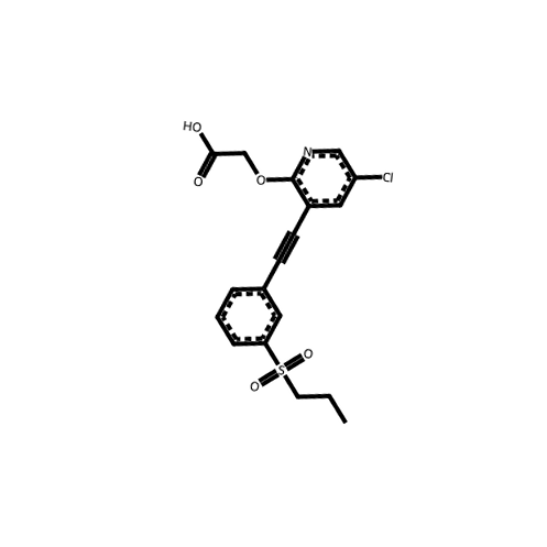 CCCS(=O)(=O)c1cccc(C#Cc2cc(Cl)cnc2OCC(=O)O)c1